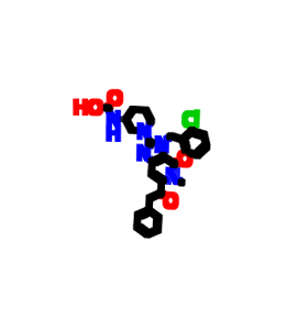 Cn1c(C(=O)Cc2ccccc2)cc2nc(N3CCC[C@@H](NC(=O)O)C3)n(Cc3ccccc3Cl)c2c1=O